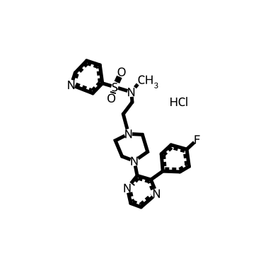 CN(CCN1CCN(c2nccnc2-c2ccc(F)cc2)CC1)S(=O)(=O)c1cccnc1.Cl